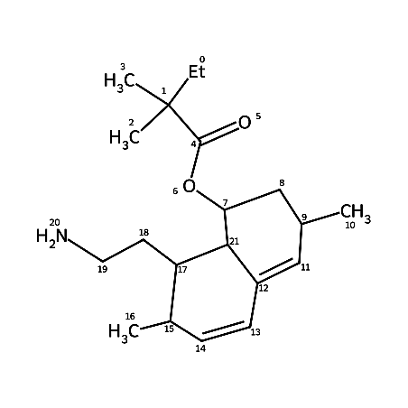 CCC(C)(C)C(=O)OC1CC(C)C=C2C=CC(C)C(CCN)C21